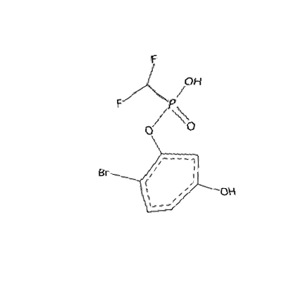 O=P(O)(Oc1cc(O)ccc1Br)C(F)F